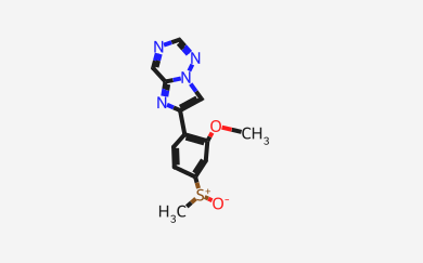 COc1cc([S+](C)[O-])ccc1-c1cn2ncncc2n1